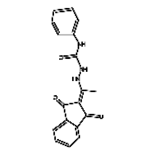 CC(NNC(=O)Nc1ccccc1)=C1C(=O)c2ccccc2C1=O